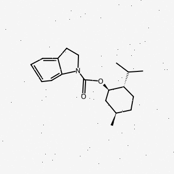 CC(C)[C@@H]1CC[C@@H](C)C[C@H]1OC(=O)N1CCc2ccccc21